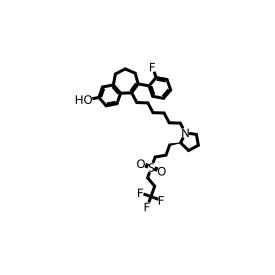 O=S(=O)(CCC[C@@H]1CCCN1CCCCCCC1=C(c2ccccc2F)CCCc2cc(O)ccc21)CCC(F)(F)F